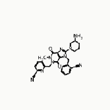 Cn1c(=O)c2nc(N3CCCC(N)C3)n(Cc3ccccc3C#N)c2c(=O)n1Cc1cccc(C#N)n1